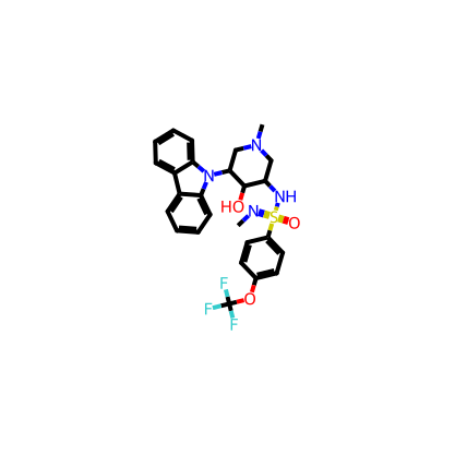 CN=S(=O)(NC1CN(C)CC(n2c3ccccc3c3ccccc32)C1O)c1ccc(OC(F)(F)F)cc1